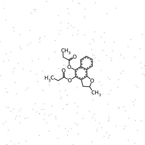 CCC(=O)Oc1c2c(c3ccccc3c1OC(=O)CC)OC(C)C2